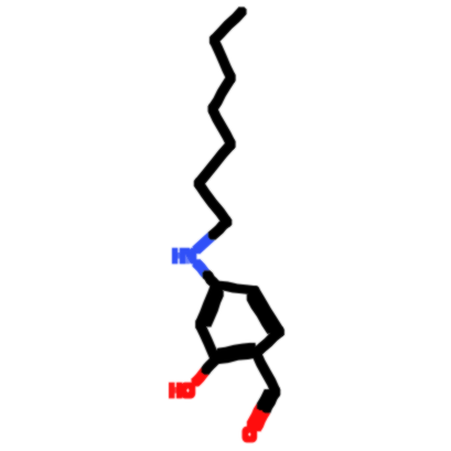 CCCCCCCNc1ccc(C=O)c(O)c1